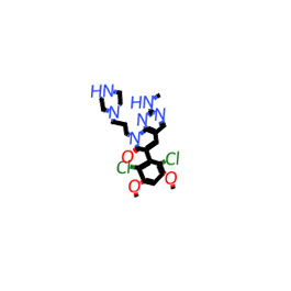 CNc1ncc2cc(-c3c(Cl)c(OC)cc(OC)c3Cl)c(=O)n(CCCN3CCNCC3)c2n1